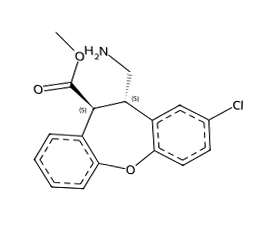 COC(=O)[C@@H]1c2ccccc2Oc2ccc(Cl)cc2[C@H]1CN